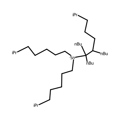 CCCCC(CCCC(C)C)[C](CCCC)(CCCC)[Sn]([CH2]CCCCC(C)C)[CH2]CCCCC(C)C